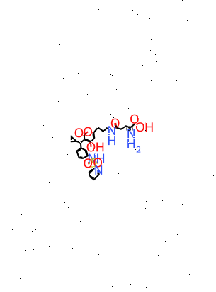 N[C@@H](CCC(=O)NCCCc1cc(O)c(C(c2cccc(NS(=O)(=O)c3ccccn3)c2)C2CC2)c(=O)o1)C(=O)O